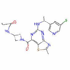 CC(=O)NC1CN(C(=O)c2nc(NC(C)c3cncc(F)c3)nc3nc(C)sc23)C1